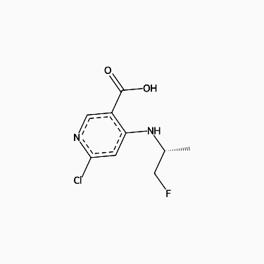 C[C@H](CF)Nc1cc(Cl)ncc1C(=O)O